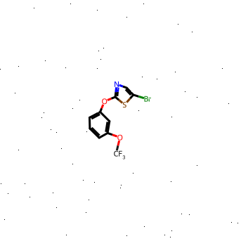 FC(F)(F)Oc1cccc(Oc2ncc(Br)s2)c1